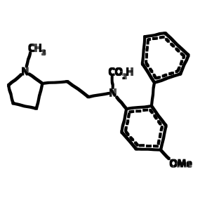 COc1ccc(N(CCC2CCCN2C)C(=O)O)c(-c2ccccc2)c1